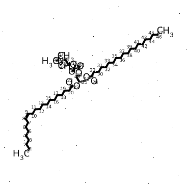 CCCCCCCC/C=C\CCCCCCCCCCCC(=O)O[C@H](COC(=O)CCCCCCCCCCCCCCCCCCC)COP(=O)([O-])OCC[N+](C)(C)C